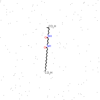 C[C@@H](CCCCNC(=O)CCCCNC(=O)CCCCCCCCCCCCCCC(=O)O)C(=O)O